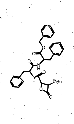 CC[C@H](C)C1C(=O)OC1C(=O)NC(Cc1ccccc1)C(=O)NC(Cc1ccccc1)C(=O)OCc1ccccc1